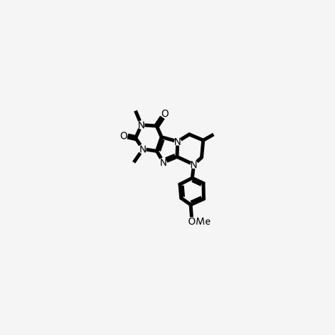 COc1ccc(N2CC(C)Cn3c2nc2c3c(=O)n(C)c(=O)n2C)cc1